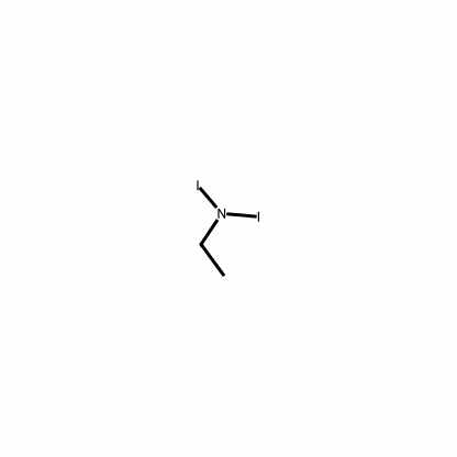 CCN(I)I